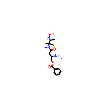 CC(=NO)C(C)(C)NC(=O)CC(N)COC(=O)c1ccccc1